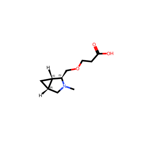 CN1C[C@@H]2C[C@@H]2[C@H]1COCCC(=O)O